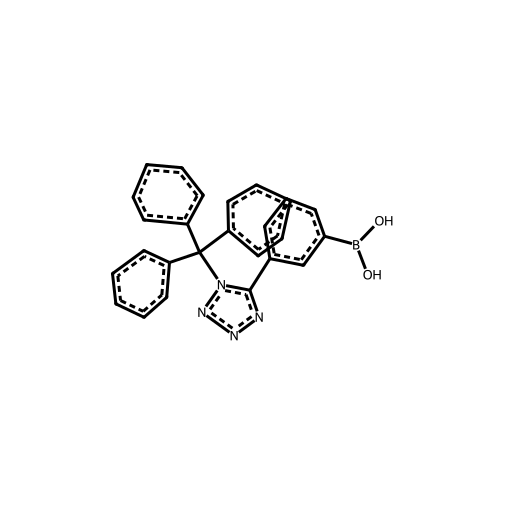 OB(O)c1cccc(-c2nnnn2C(c2ccccc2)(c2ccccc2)c2ccccc2)c1